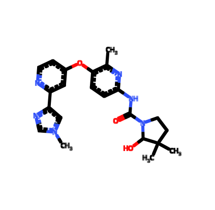 Cc1nc(NC(=O)N2CCC(C)(C)C2O)ccc1Oc1ccnc(-c2cn(C)cn2)c1